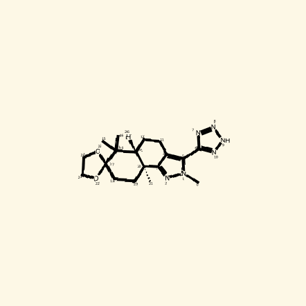 Cn1nc2c(c1-c1nn[nH]n1)CC[C@H]1C(C)(C)C3(CC[C@]21C)OCCO3